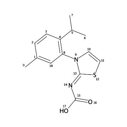 Cc1ccc(C(C)C)c(-n2ccsc2=NC(=O)O)c1